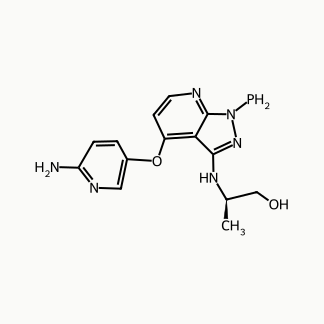 C[C@H](CO)Nc1nn(P)c2nccc(Oc3ccc(N)nc3)c12